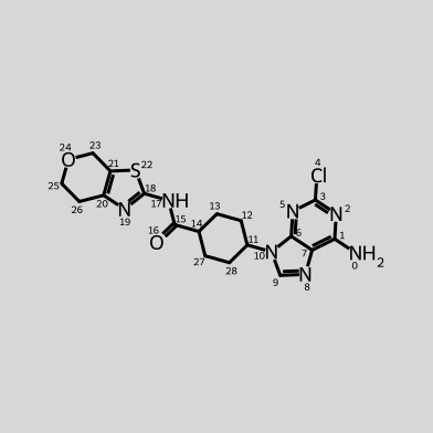 Nc1nc(Cl)nc2c1ncn2C1CCC(C(=O)Nc2nc3c(s2)COCC3)CC1